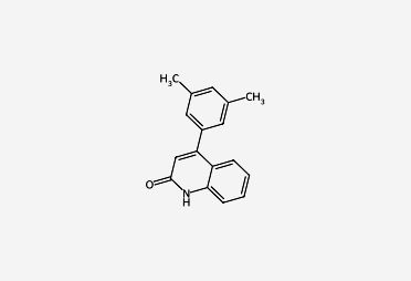 Cc1cc(C)cc(-c2cc(=O)[nH]c3ccccc23)c1